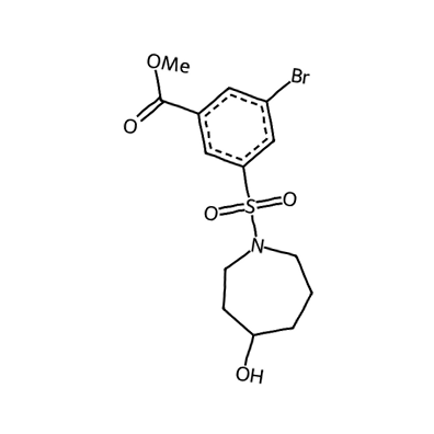 COC(=O)c1cc(Br)cc(S(=O)(=O)N2CCCC(O)CC2)c1